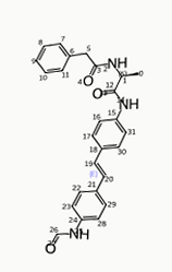 C[C@H](NC(=O)Cc1ccccc1)C(=O)Nc1ccc(/C=C/c2ccc(NC=O)cc2)cc1